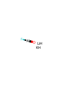 [KH].[LiH].[O]=[Al][F]